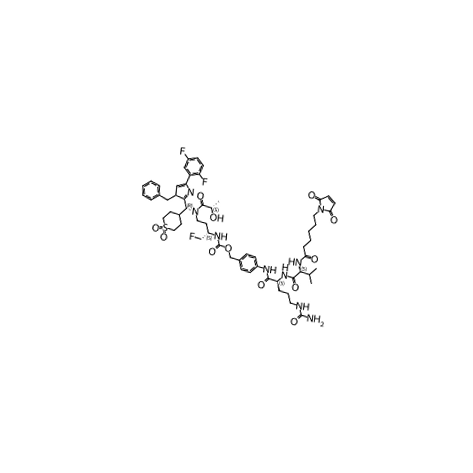 CC(C)[C@H](NC(=O)CCCCCN1C(=O)C=CC1=O)C(=O)N[C@@H](CCCNC(N)=O)C(=O)Nc1ccc(COC(=O)N[C@H](CF)CCN(C(=O)[C@H](C)O)[C@@H](C2=NC(c3cc(F)ccc3F)=CC2Cc2ccccc2)C2CCS(=O)(=O)CC2)cc1